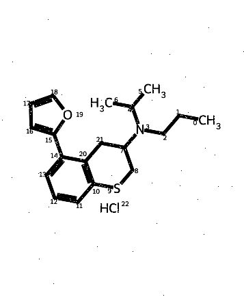 CCCN(C(C)C)C1CSc2cccc(-c3ccco3)c2C1.Cl